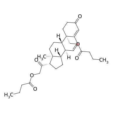 CCCC(=O)OCC(=O)[C@H]1CC[C@H]2[C@@H]3C=CC4=CC(=O)CC[C@]4(COC(=O)CCC)[C@H]3CC[C@]12C